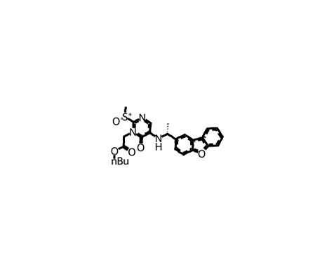 CCCCOC(=O)Cn1c([S+](C)[O-])ncc(N[C@H](C)c2ccc3oc4ccccc4c3c2)c1=O